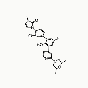 C[C@@H]1CN(c2cc(-c3cc(F)cc(-c4ccc(-n5ccn(C)c5=O)c(Cl)c4)c3O)ccn2)C[C@@H](C)O1